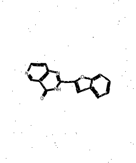 O=c1[nH]c(-c2cc3ccccc3o2)nc2ccncc12